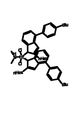 CCCCCCC1=Cc2c(-c3ccc(C(C)(C)C)cc3)cccc2[CH]1[Hf]([Cl])([Cl])([CH]1C(CCCCCC)=Cc2c(-c3ccc(C(C)(C)C)cc3)cccc21)[SiH](C)C